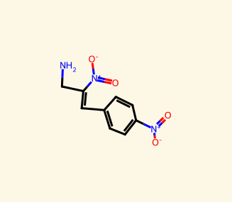 NCC(=Cc1ccc([N+](=O)[O-])cc1)[N+](=O)[O-]